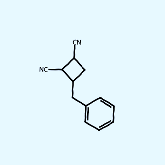 N#CC1CC(Cc2ccccc2)C1C#N